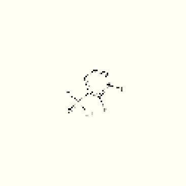 O=P(O)(O)c1cc[c]c(F)c1F